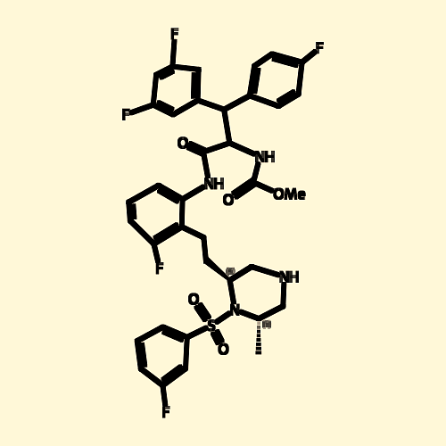 COC(=O)NC(C(=O)Nc1cccc(F)c1CC[C@H]1CNC[C@H](C)N1S(=O)(=O)c1cccc(F)c1)C(c1ccc(F)cc1)c1cc(F)cc(F)c1